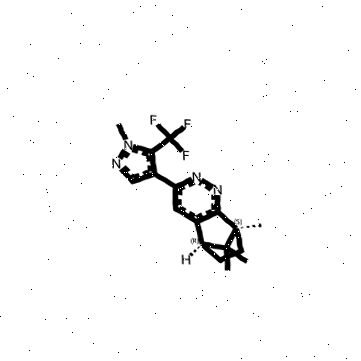 Cn1ncc(-c2cc3c(nn2)[C@@]2(C)CC[C@@H]3C2(C)C)c1C(F)(F)F